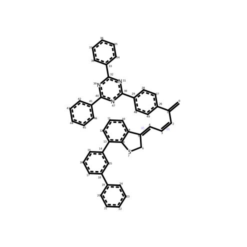 C=C(/C=C\C=C1/CSc2c1cccc2-c1cccc(-c2ccccc2)c1)c1ccc(-c2nc(-c3ccccc3)nc(-c3ccccc3)n2)cc1